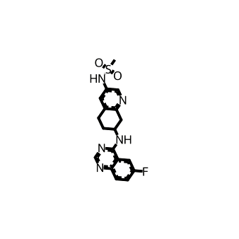 CS(=O)(=O)Nc1cnc2c(c1)CCC(Nc1ncnc3ccc(F)cc13)C2